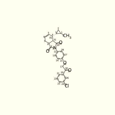 CC1CC1[C@H]1C=CCC2C(=O)N(c3ccc(OCC(=O)c4cccc(Cl)c4)cc3)C(=O)C21